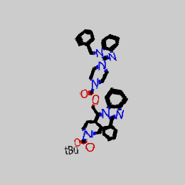 CC(C)(C)OC(=O)N1CCC(C(COC(=O)N2CCN(c3nc4ccccc4n3Cc3ccccc3)CC2)N2C(c3ccccc3)=NC3=CC=CCC32)CC1